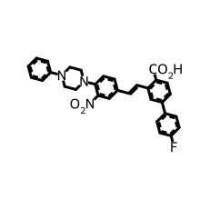 O=C(O)c1ccc(-c2ccc(F)cc2)cc1C=Cc1ccc(N2CCN(c3ccccc3)CC2)c([N+](=O)[O-])c1